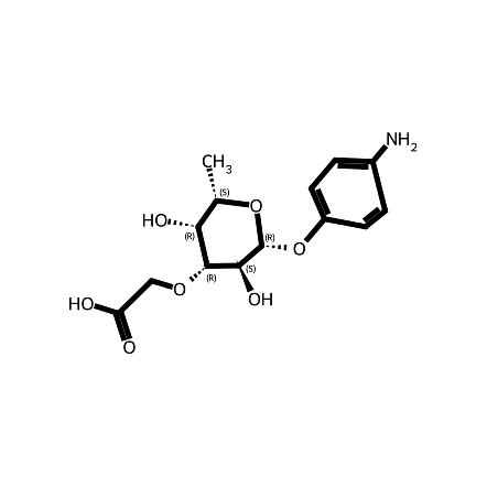 C[C@@H]1O[C@H](Oc2ccc(N)cc2)[C@@H](O)[C@H](OCC(=O)O)[C@@H]1O